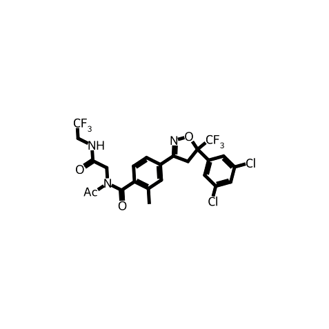 CC(=O)N(CC(=O)NCC(F)(F)F)C(=O)c1ccc(C2=NOC(c3cc(Cl)cc(Cl)c3)(C(F)(F)F)C2)cc1C